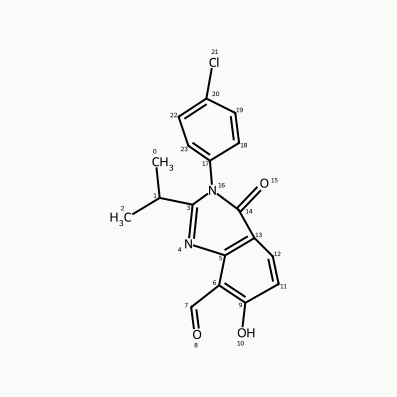 CC(C)c1nc2c(C=O)c(O)ccc2c(=O)n1-c1ccc(Cl)cc1